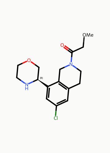 COCC(=O)N1CCc2cc(Cl)cc([C@@H]3COCCN3)c2C1